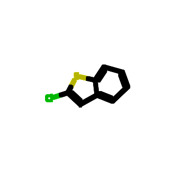 Clc1[c]c2ccccc2s1